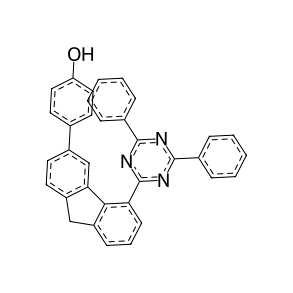 Oc1ccc(-c2ccc3c(c2)-c2c(cccc2-c2nc(-c4ccccc4)nc(-c4ccccc4)n2)C3)cc1